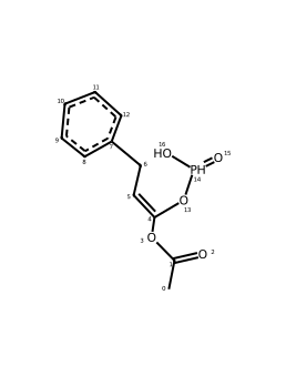 CC(=O)OC(=CCc1ccccc1)O[PH](=O)O